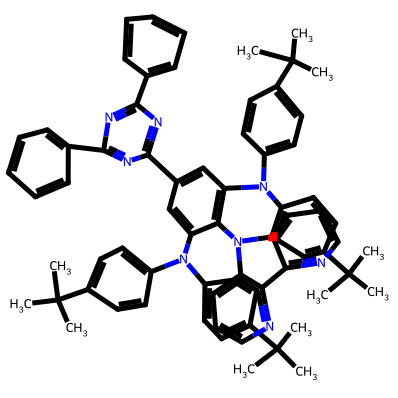 CC(C)(C)c1ccc(N(c2ccc(C(C)(C)C)cc2)c2cc(-c3nc(-c4ccccc4)nc(-c4ccccc4)n3)cc(N(c3ccc(C(C)(C)C)cc3)c3ccc(C(C)(C)C)cc3)c2-n2c3cccnc3c3ncccc32)cc1